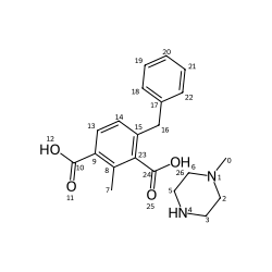 CN1CCNCC1.Cc1c(C(=O)O)ccc(Cc2ccccc2)c1C(=O)O